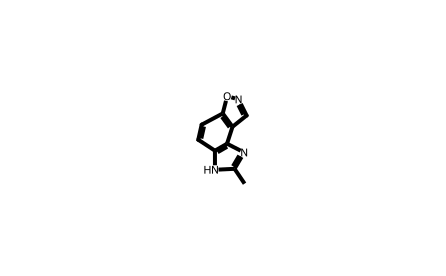 Cc1nc2c(ccc3oncc32)[nH]1